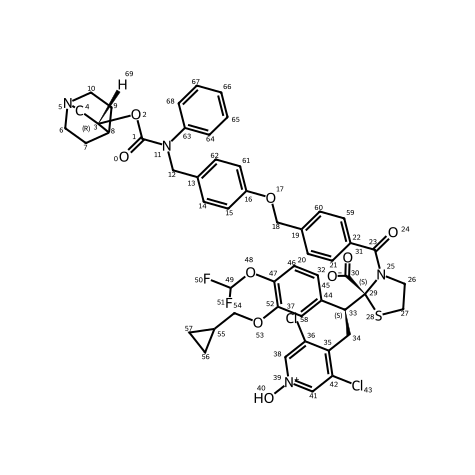 O=C(O[C@H]1CN2CCC1CC2)N(Cc1ccc(OCc2ccc(C(=O)N3CCS[C@]3(C(=O)[O-])[C@@H](Cc3c(Cl)c[n+](O)cc3Cl)c3ccc(OC(F)F)c(OCC4CC4)c3)cc2)cc1)c1ccccc1